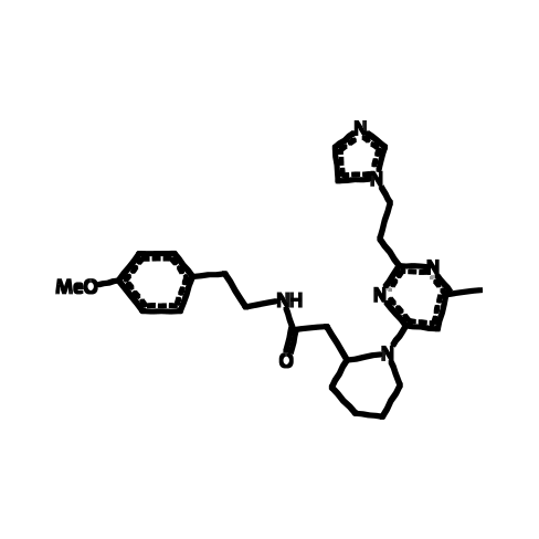 COc1ccc(CCNC(=O)CC2CCCCN2c2cc(C)nc(CCn3ccnc3)n2)cc1